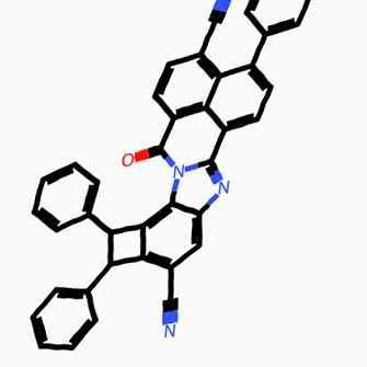 N#Cc1cc2nc3c4ccc(-c5ccccc5)c5c(C#N)ccc(c(=O)n3c2c2c1C(c1ccccc1)C2c1ccccc1)c54